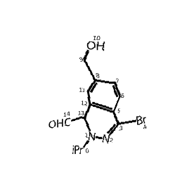 CC(C)N1N=C(Br)c2ccc(CO)cc2C1C=O